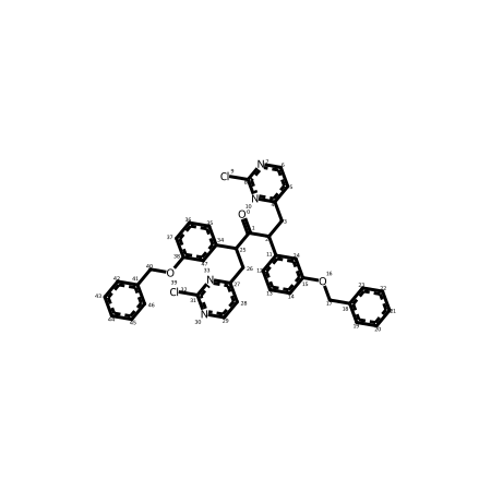 O=C(C(Cc1ccnc(Cl)n1)c1cccc(OCc2ccccc2)c1)C(Cc1ccnc(Cl)n1)c1cccc(OCc2ccccc2)c1